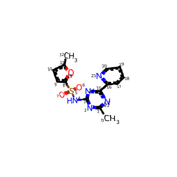 Cc1nc(NS(=O)(=O)c2ccc(C)o2)nc(-c2ccccn2)n1